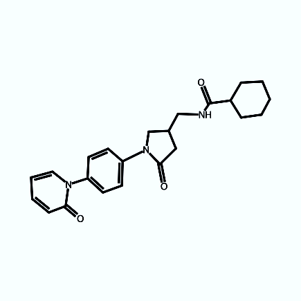 O=C(NCC1CC(=O)N(c2ccc(-n3ccccc3=O)cc2)C1)C1CCCCC1